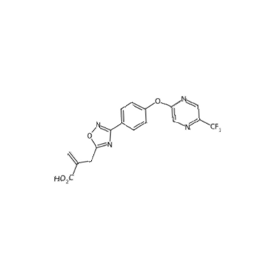 C=C(Cc1nc(-c2ccc(Oc3cnc(C(F)(F)F)cn3)cc2)no1)C(=O)O